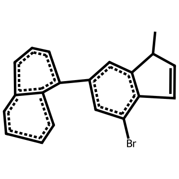 CC1C=Cc2c(Br)cc(-c3cccc4ccccc34)cc21